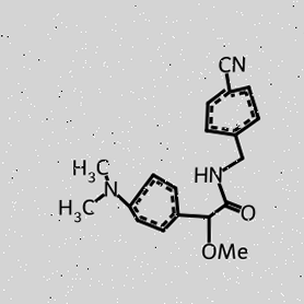 COC(C(=O)NCc1ccc(C#N)cc1)c1ccc(N(C)C)cc1